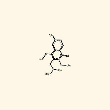 CCCCOc1c(CN(C(=O)O)C(C)(C)C)n(CC(C)(C)C)c(=O)c2ccc(C(F)(F)F)cc12